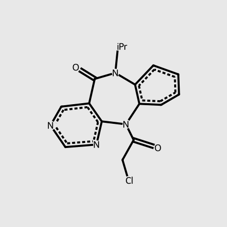 CC(C)N1C(=O)c2cncnc2N(C(=O)CCl)c2ccccc21